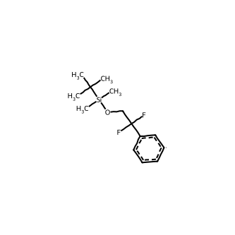 CC(C)(C)[Si](C)(C)OCC(F)(F)c1c[c]ccc1